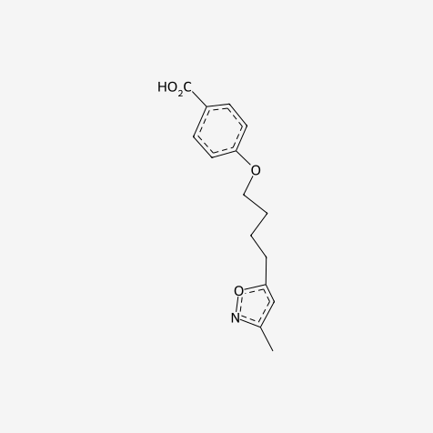 Cc1cc(CCCCOc2ccc(C(=O)O)cc2)on1